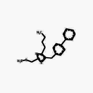 CCCCc1nc(CSC)sc1Cc1ccc(-c2[c]cccc2)cc1